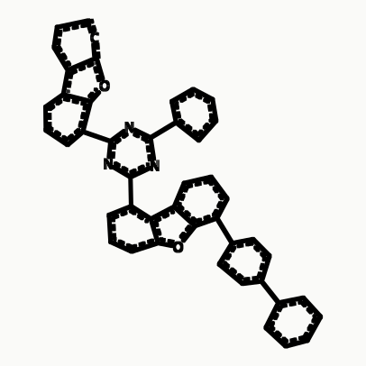 c1ccc(-c2ccc(-c3cccc4c3oc3cccc(-c5nc(-c6ccccc6)nc(-c6cccc7c6oc6ccccc67)n5)c34)cc2)cc1